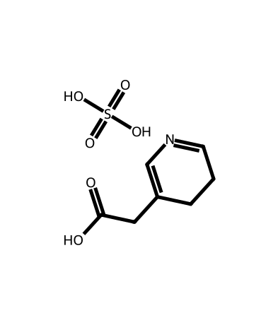 O=C(O)CC1=CN=CCC1.O=S(=O)(O)O